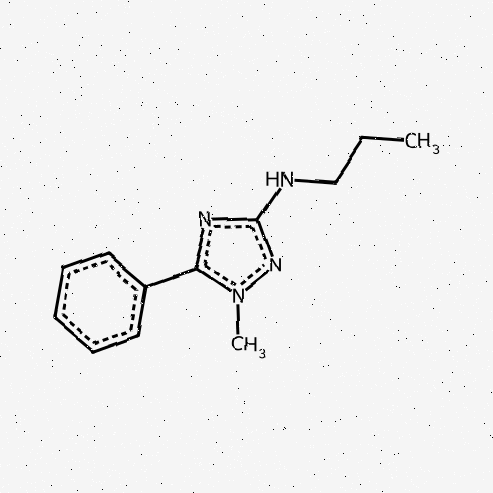 CCCNc1nc(-c2ccccc2)n(C)n1